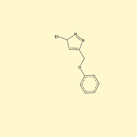 CCC1C=C(COc2ccccc2)N=N1